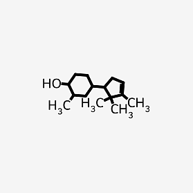 CC1=CCC(C2CCC(O)C(C)C2)C1(C)C